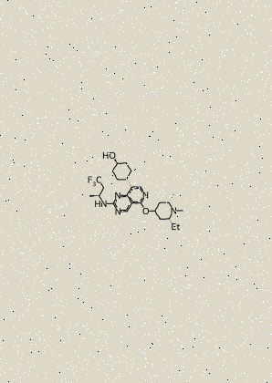 CC[C@@H]1CC(Oc2ncc([C@H]3CC[C@H](O)CC3)c3nc(N[C@@H](C)CC(F)(F)F)ncc23)C[C@H](C)N1C